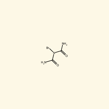 NC(=O)N(Br)C(N)=O